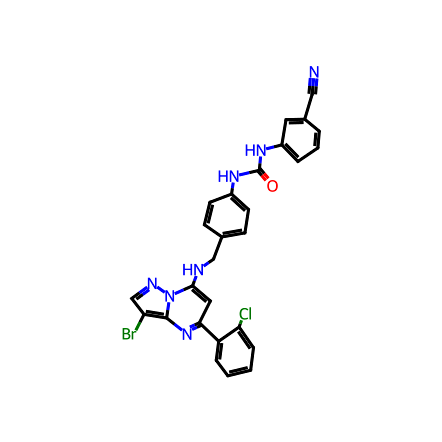 N#Cc1cccc(NC(=O)Nc2ccc(CNc3cc(-c4ccccc4Cl)nc4c(Br)cnn34)cc2)c1